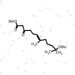 COC(=O)CC(=O)CC/C=C(\C)CCCC(C)(C)OC